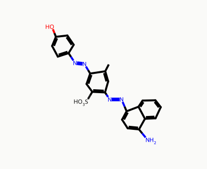 Cc1cc(N=Nc2ccc(N)c3ccccc23)c(S(=O)(=O)O)cc1N=Nc1ccc(O)cc1